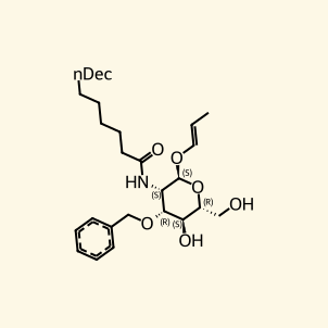 CC=CO[C@H]1O[C@H](CO)[C@@H](O)[C@H](OCc2ccccc2)[C@@H]1NC(=O)CCCCCCCCCCCCCCC